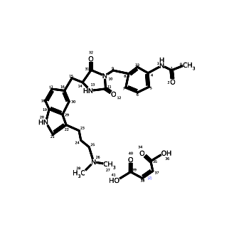 CC(=O)Nc1cccc(CN2C(=O)NC(Cc3ccc4[nH]cc(CCCN(C)C)c4c3)C2=O)c1.O=C(O)/C=C\C(=O)O